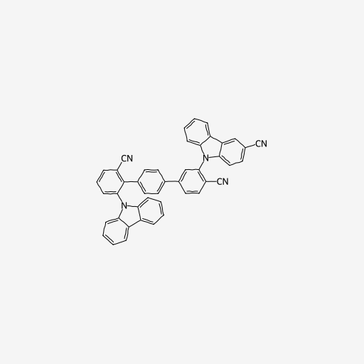 N#Cc1ccc2c(c1)c1ccccc1n2-c1cc(-c2ccc(-c3c(C#N)cccc3-n3c4ccccc4c4ccccc43)cc2)ccc1C#N